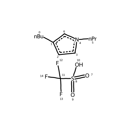 CCCCc1ccn(CCC)c1.O=S(=O)(O)C(F)(F)F